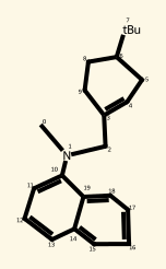 CN(CC1=CCC(C(C)(C)C)CC1)c1cccc2ccccc12